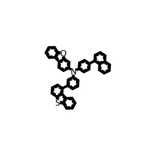 c1cc(-c2cccc3sc4ccccc4c23)cc(N(c2ccc(-c3cccc4ccccc34)cc2)c2ccc3c(c2)oc2ccccc23)c1